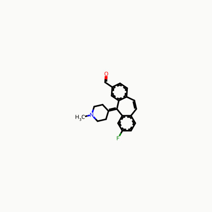 CN1CCC(=C2c3cc(F)ccc3C=Cc3ccc(C=O)cc32)CC1